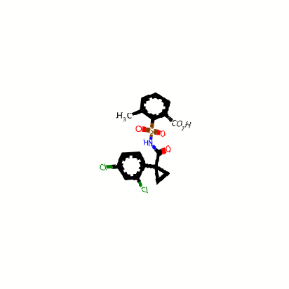 Cc1cccc(C(=O)O)c1S(=O)(=O)NC(=O)C1(c2ccc(Cl)cc2Cl)CC1